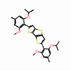 COc1cc(C)cc(OC(C)C)c1-c1cc2sc3cc(-c4c(OC)cc(C)cc4OC(C)C)sc3c2s1